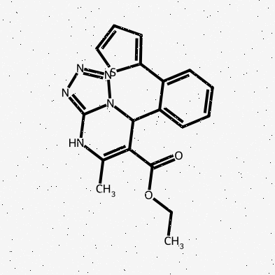 CCOC(=O)C1=C(C)Nc2nnnn2C1c1ccccc1-c1cccs1